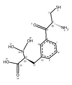 N[C@@H](CS)C(=O)c1cccc(C[C@@H](C(=O)O)N(O)O)c1